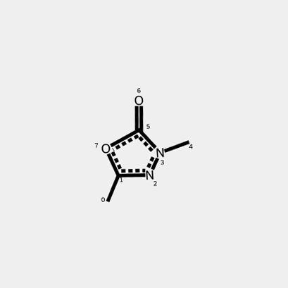 Cc1nn(C)c(=O)o1